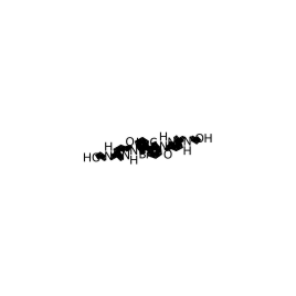 Cc1c(NC(=O)c2ccc(CNCCO)cn2)cccc1-c1cccc(NC(=O)c2ccc(CNCCO)cn2)c1Br